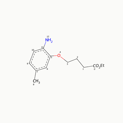 CCOC(=O)CCCOc1cc(C)ccc1N